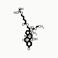 CCOC(=O)O[C@]1(C(=O)COC(=O)CCCCON(O)O)CC[C@H]2[C@@H]3CCC4=CC(=O)C=C[C@]4(C)[C@H]3[C@@H](O)C[C@@]21C